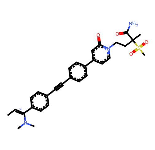 C/C=C(/c1ccc(C#Cc2ccc(-c3ccn(CCC(C)(C(N)=O)S(C)(=O)=O)c(=O)c3)cc2)cc1)N(C)C